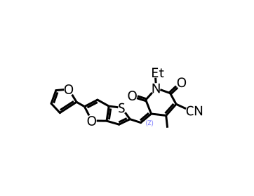 CCN1C(=O)C(C#N)=C(C)/C(=C/c2cc3oc(-c4ccco4)cc3s2)C1=O